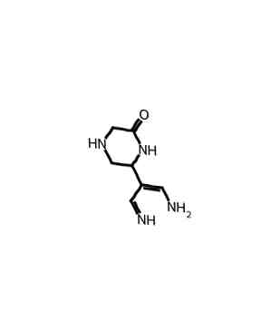 N=C/C(=C\N)C1CNCC(=O)N1